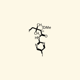 CO[C@H](C(=O)Nc1ncc(I)cn1)C(C)(C)CI